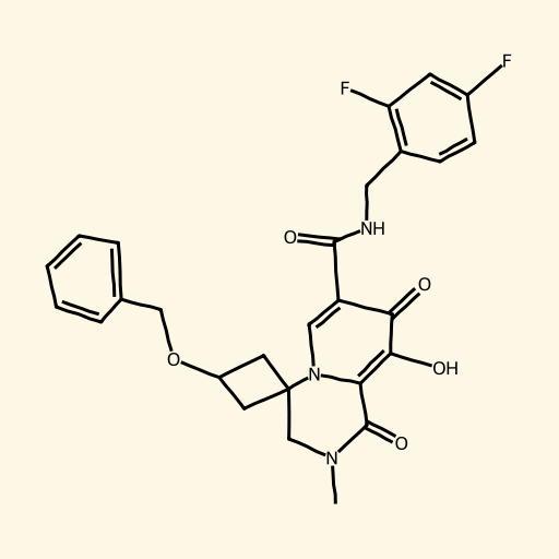 CN1CC2(CC(OCc3ccccc3)C2)n2cc(C(=O)NCc3ccc(F)cc3F)c(=O)c(O)c2C1=O